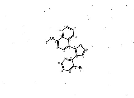 COc1ccc(-c2oncc2-c2ccccc2Br)c2ccccc12